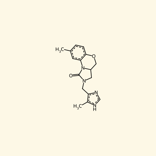 Cc1ccc2c(c1)N1C(=O)N(Cc3nc[nH]c3C)CC1CO2